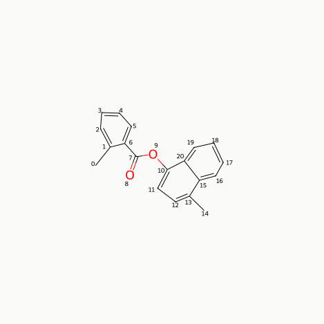 Cc1ccccc1C(=O)Oc1ccc(C)c2ccccc12